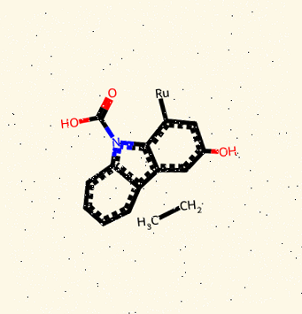 O=C(O)n1c2ccccc2c2cc(O)c[c]([Ru])c21.[CH2]C